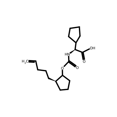 C=CCCC[C@@H]1CCCC1OC(=O)N[C@H](C(=O)O)C1CCCC1